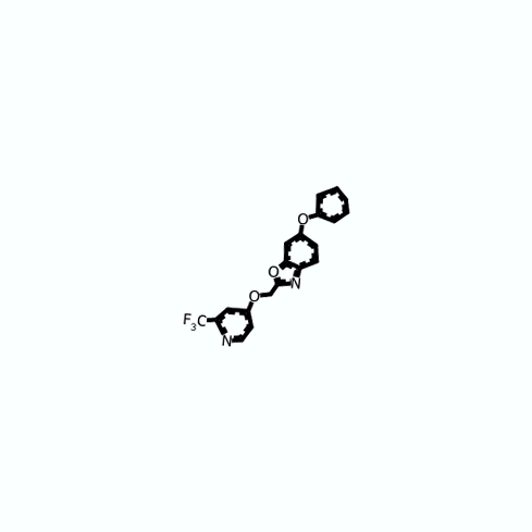 FC(F)(F)c1cc(OCc2nc3ccc(Oc4ccccc4)cc3o2)ccn1